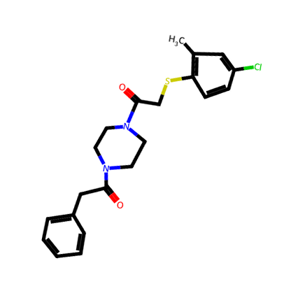 Cc1cc(Cl)ccc1SCC(=O)N1CCN(C(=O)Cc2ccccc2)CC1